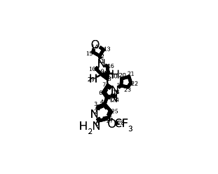 Nc1ncc(-c2cc([C@H]3[C@@H]4CN(C5COC5)C[C@@H]43)n(C3CCCC3)n2)cc1OC(F)(F)F